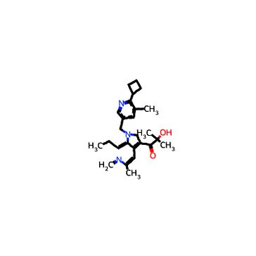 C=N/C(C)=C\C1=C(C(=O)C(C)(C)O)CN(Cc2cnc(C3CCC3)c(C)c2)/C1=C\CC